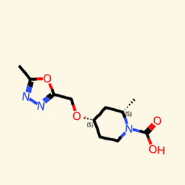 Cc1nnc(CO[C@H]2CCN(C(=O)O)[C@@H](C)C2)o1